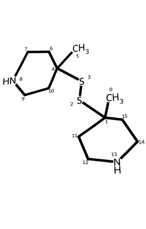 CC1(SSC2(C)CCNCC2)CCNCC1